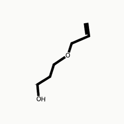 C=CCOCC[CH]O